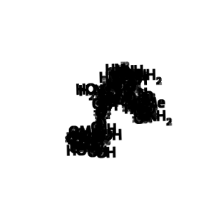 COc1cccc2c1C(=O)c1c(O)c3c(c(O)c1C2=O)C[C@@](O)(C(=O)CO)C[C@@H]3O[C@H]1C[C@H](NC(=O)OCc2ccc(NC(=O)[C@H](CC(N)=O)NC(=O)[C@H](C)NC(=O)[C@H](C)NC(=O)C(C(=O)N[C@@H](C)C(=O)N[C@@H](C)C(=O)N[C@@H](CC(N)=O)C(=O)Nc3ccc(COC(=O)N4C5[C@@H]4CN4C6=C(C(=O)C(N)=C(C)C6=O)[C@@H](COC(N)=O)[C@@]54OC)cc3)N(C)CC(=O)O)cc2)[C@H](O)[C@H](C)O1